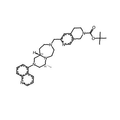 C[C@@H]1CN(c2cccc3ncccc23)C[C@@H]2CCN(Cc3cc4c(cn3)CN(C(=O)OC(C)(C)C)CC4)CCN21